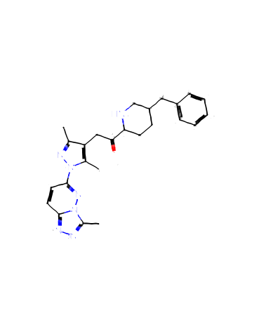 Cc1nn(-c2ccc3nnc(C)n3n2)c(C)c1CC(=O)C1CCC(Cc2ccccc2)CN1